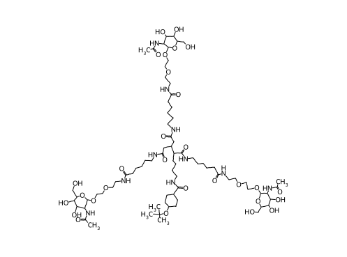 CC(=O)NC1C(OCCOCCNC(=O)CCCCCNC(=O)CC(CC(=O)NCCCCCC(=O)NCCOCCOC2OC(CO)C(O)C(O)C2NC(C)=O)C(CCCCNC(=O)C2CCC(OC(C)(C)C)CC2)C(=O)NCCCCCC(=O)NCCOCCOC2OC(CO)C(O)C(O)C2NC(C)=O)OC(CO)C(O)C1O